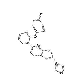 Fc1ccc(Oc2ccccc2-c2ccc3cc(-n4ccnc4)ccc3n2)cc1